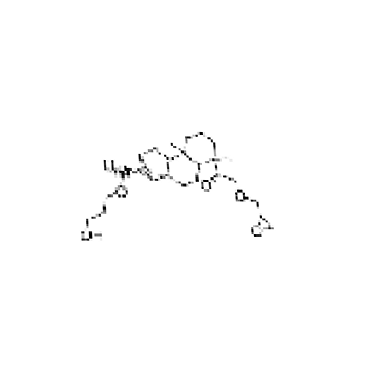 CC(C)C1=CC23CCC4C(C)(C(=O)COCC5CO5)CCCC4(C)C2CC1C(C(=O)OCCCO)C3